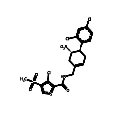 CS(=O)(=O)c1csc(C(=O)NCC2=CC[C@H](c3ccc(Cl)cc3Cl)[C@@H]([N+](=O)[O-])C2)c1Cl